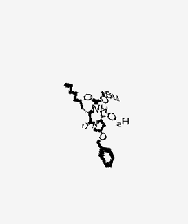 C=CCCCCC[C@H](NC(=O)OC(C)(C)C)C(=O)N1C[C@H](OCc2ccccc2)C[C@H]1C(=O)O